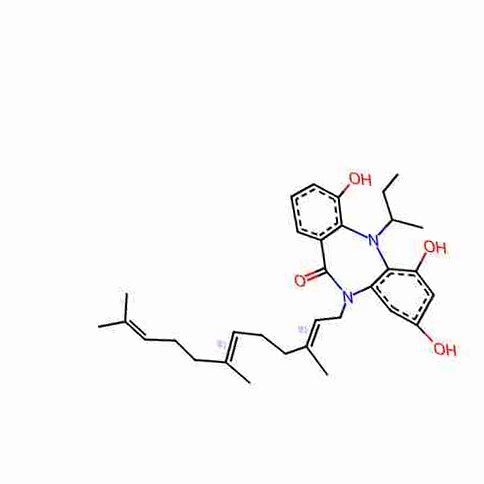 CCC(C)N1c2c(O)cccc2C(=O)N(C/C=C(\C)CC/C=C(\C)CCC=C(C)C)c2cc(O)cc(O)c21